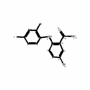 Cc1cc(I)ccc1Nc1ccc(Br)cc1C(N)=O